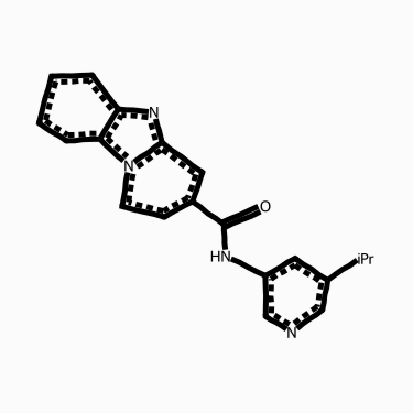 CC(C)c1cncc(NC(=O)c2ccn3c(c2)nc2ccccc23)c1